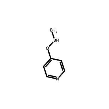 BBOc1ccncc1